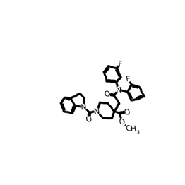 COC(=O)C1(CC(=O)N(c2cccc(F)c2)c2ccccc2F)CCN(C(=O)N2CCc3ccccc32)CC1